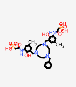 Cc1cc(CN2CCCN(Cc3ccccc3)CCCN(Cc3cc(C)cc(NC(=O)CP(=O)(O)O)c3O)CCC2)c(O)c(NC(=O)CP(=O)(O)O)c1